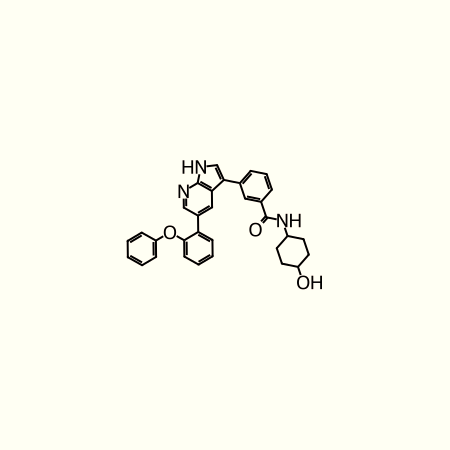 O=C(NC1CCC(O)CC1)c1cccc(-c2c[nH]c3ncc(-c4ccccc4Oc4ccccc4)cc23)c1